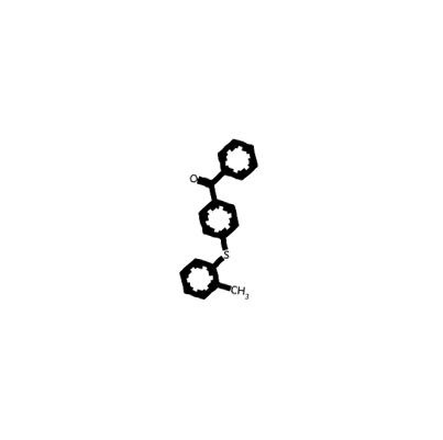 Cc1ccccc1Sc1ccc(C(=O)c2ccccc2)cc1